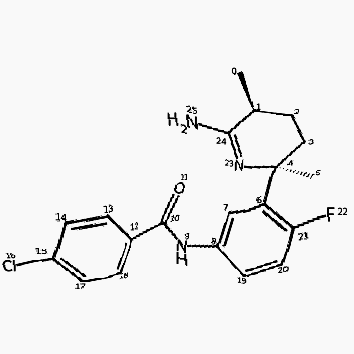 C[C@H]1CC[C@@](C)(c2cc(NC(=O)c3ccc(Cl)cc3)ccc2F)N=C1N